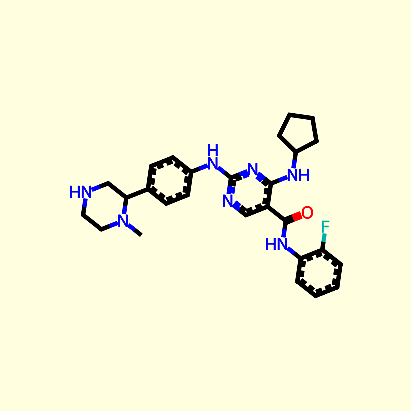 CN1CCNCC1c1ccc(Nc2ncc(C(=O)Nc3ccccc3F)c(NC3CCCC3)n2)cc1